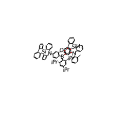 Cc1ccccc1N(c1ccc2c(c1)B(c1c(C(C)C)cc(C(C)C)cc1C(C)C)c1ccc(N3c4ccccc4[Si]4(c5ccccc5-c5ccccc54)c4ccccc43)cc1O2)c1ccccc1[SiH]1c2ccccc2-c2ccccc21